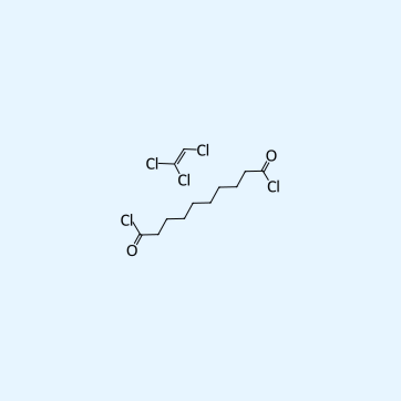 ClC=C(Cl)Cl.O=C(Cl)CCCCCCCCC(=O)Cl